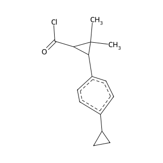 CC1(C)C(C(=O)Cl)C1c1ccc(C2CC2)cc1